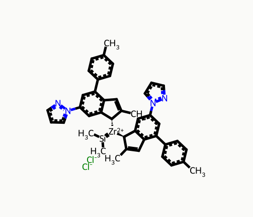 CC1=Cc2c(-c3ccc(C)cc3)cc(-n3cccn3)cc2[C@@H]1[Zr+2]([C@H]1C(C)=Cc2c(-c3ccc(C)cc3)cc(-n3cccn3)cc21)=[Si](C)C.[Cl-].[Cl-]